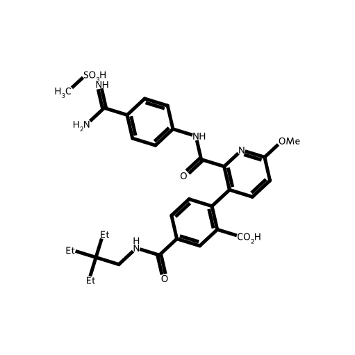 CCC(CC)(CC)CNC(=O)c1ccc(-c2ccc(OC)nc2C(=O)Nc2ccc(C(=N)N)cc2)c(C(=O)O)c1.CS(=O)(=O)O